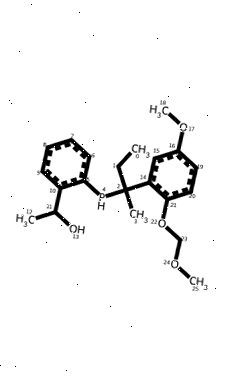 CCC(C)(Pc1ccccc1C(C)O)c1cc(OC)ccc1OCOC